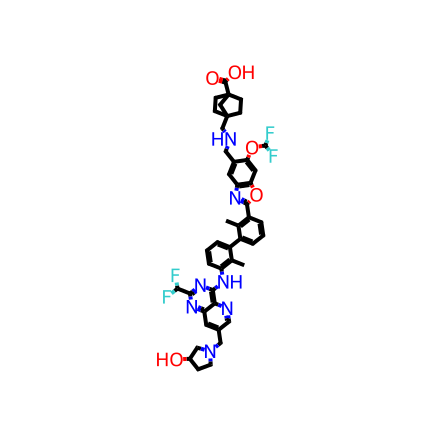 Cc1c(Nc2nc(C(F)F)nc3cc(CN4CCC(O)C4)cnc23)cccc1-c1cccc(-c2nc3cc(CNCC45CCC(C(=O)O)(CC4)C5)c(OC(F)F)cc3o2)c1C